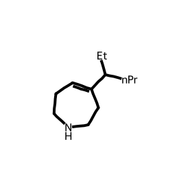 CCCC(CC)C1=CCCNCC1